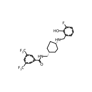 O=C(NC[C@H]1CC[C@@H](NCc2cccc(F)c2O)CC1)c1cc(C(F)(F)F)cc(C(F)(F)F)c1